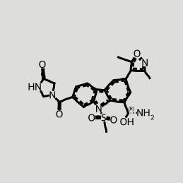 Cc1noc(C)c1-c1cc([C@H](N)O)c2c(c1)c1ccc(C(=O)N3CNC(=O)C3)cc1n2S(C)(=O)=O